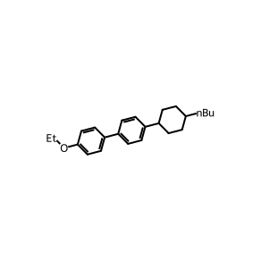 CCCCC1CCC(c2ccc(-c3ccc(OCC)cc3)cc2)CC1